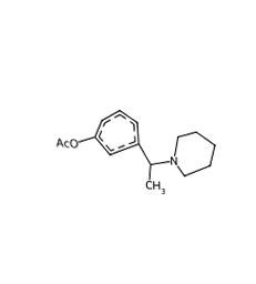 CC(=O)Oc1cccc(C(C)N2CCCCC2)c1